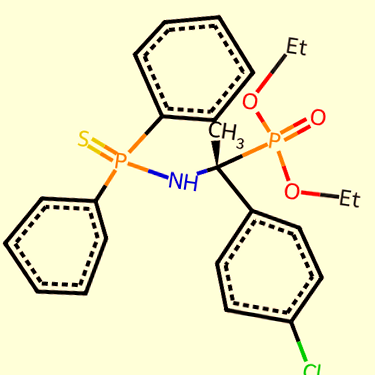 CCOP(=O)(OCC)[C@@](C)(NP(=S)(c1ccccc1)c1ccccc1)c1ccc(Cl)cc1